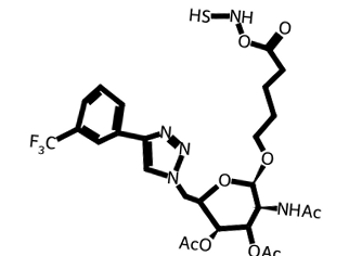 CC(=O)N[C@H]1C(OC(C)=O)[C@@H](OC(C)=O)C(Cn2cc(-c3cccc(C(F)(F)F)c3)nn2)O[C@H]1OCCCCC(=O)ONS